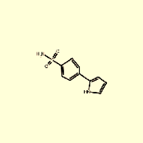 NS(=O)(=O)c1ccc(-c2ccc[nH]2)cc1